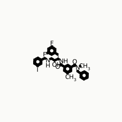 Cc1cc(C(=O)N[C@@H](Cc2cc(F)cc(F)c2)[C@H](O)CNCc2cccc(I)c2)cc(C(=O)N(C)Cc2ccccc2)c1